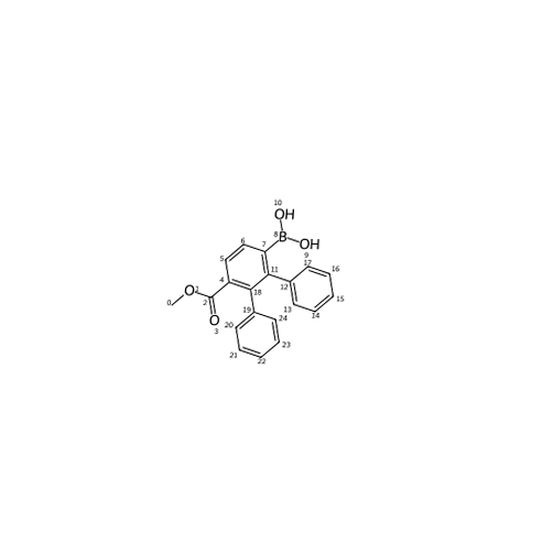 COC(=O)c1ccc(B(O)O)c(-c2ccccc2)c1-c1ccccc1